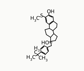 CSc1cc2c(cc1O)CCC1C2CCC2C1CC[C@@]2(O)Cc1ccc(C(C)(C)C)cc1